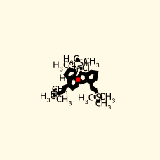 CC1=Cc2c(C=C[Si](C)(C)C)cccc2[CH]1[Zr]([Cl])([Cl])([CH]1C(C)=Cc2c(C=C[Si](C)(C)C)cccc21)[SiH](C)C